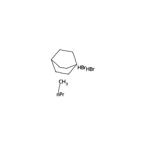 Br.Br.C1CC2CCC1CC2.CCCC